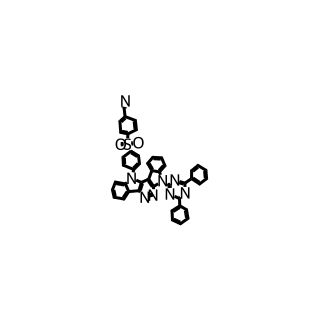 N#Cc1ccc(S(=O)(=O)c2ccc(-n3c4ccccc4c4nnc5c(c6ccccc6n5-c5nc(-c6ccccc6)nc(-c6ccccc6)n5)c43)cc2)cc1